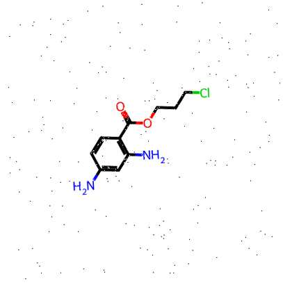 Nc1ccc(C(=O)OCCCCl)c(N)c1